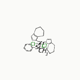 C[Si](c1ccccc1)=[Zr]([Cl])([Cl])([CH]1C=CC2=C1CCCC2)[CH]1C=CC2=C1CCCC2